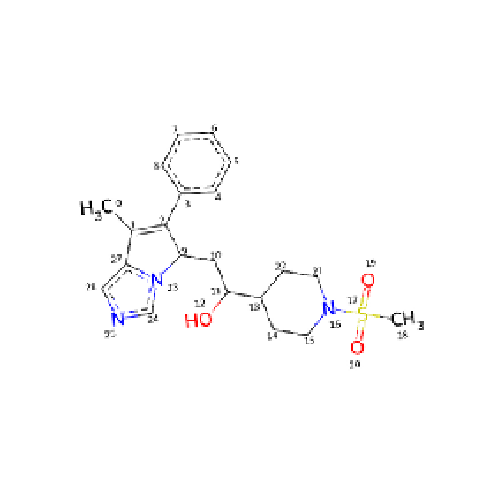 CC1=C(c2ccccc2)C(CC(O)C2CCN(S(C)(=O)=O)CC2)n2cncc21